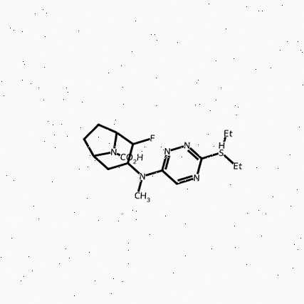 CC[SH](CC)c1ncc(N(C)C2CC3CCC(C2F)N3C(=O)O)nn1